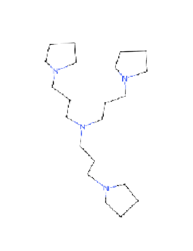 C1CCN(CCCN(CCCN2CCCC2)CCCN2CCCC2)C1